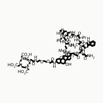 CSCC[C@H](NC(=O)[C@H](CC(C)C)NC(=O)[C@H](Cc1c[nH]cn1)NC(=O)CNC(=O)[C@@H](NC(=O)[C@H](C)NC(=O)[C@H](Cc1c[nH]c2ccccc12)NC(=O)[C@H](CCC(N)=O)NC(=O)CC[C@@H](C)[C@H]1CCC2C3C(C[C@H](O)[C@@]21C)[C@@]1(C)CC[C@H](NC(=O)COCCOCCNC(=O)CN2CCN(CC(=O)O)CCN(CC(=O)O)CCN(CC(=O)O)CC2)CC1C[C@H]3O)C(C)C)C(N)=O